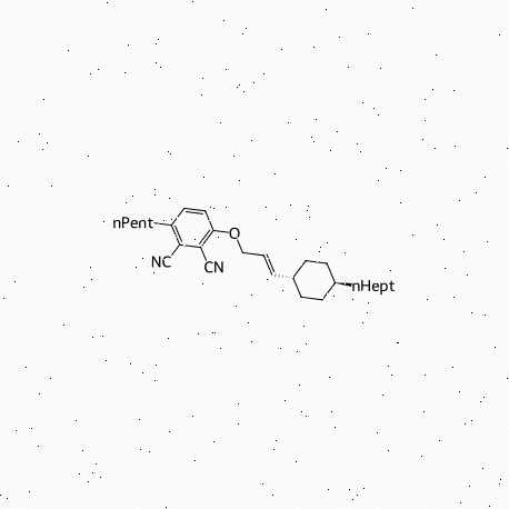 CCCCCCC[C@H]1CC[C@H](/C=C/COc2ccc(CCCCC)c(C#N)c2C#N)CC1